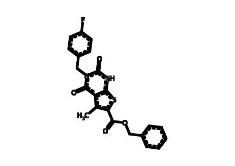 Cc1c(C(=O)OCc2ccccc2)sc2[nH]c(=O)n(Cc3ccc(F)cc3)c(=O)c12